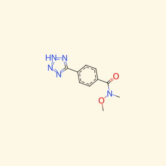 CON(C)C(=O)c1ccc(-c2nn[nH]n2)cc1